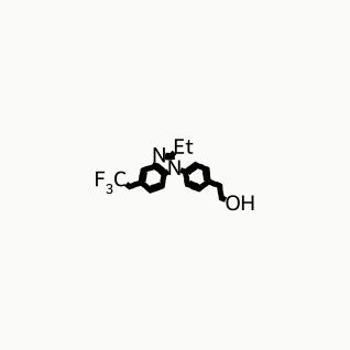 CCc1nc2cc(CC(F)(F)F)ccc2n1-c1ccc(CCO)cc1